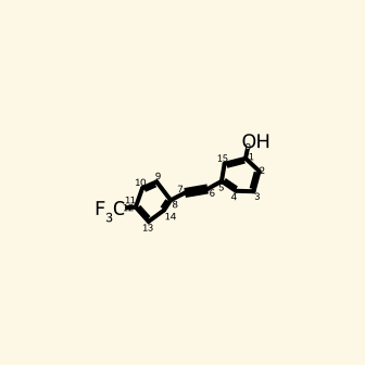 Oc1cccc(C#Cc2ccc(C(F)(F)F)cc2)c1